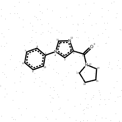 O=C(c1cn(-c2ccccc2)cn1)N1CCCC1